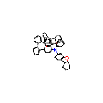 C1=CC2Oc3cc(N(c4ccc5c(c4)C4(c6ccccc6-c6ccccc6-5)c5ccccc5-c5c4ccc4ccccc54)c4ccccc4-c4ccccc4)ccc3C2C=C1